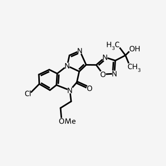 COCCn1c(=O)c2c(-c3nc(C(C)(C)O)no3)ncn2c2ccc(Cl)cc21